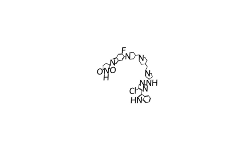 O=C1CCC(n2cc3cc(F)c(N4CCC(CN5CCC(CCN6CC[C@@H](Nc7ncc(Cl)c(-c8c[nH]c9ccccc89)n7)C6)CC5)CC4)cc3c2)C(=O)N1